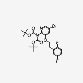 CC(C)(C)OC(=O)N(C(=O)OC(C)(C)C)c1ncc(Br)cc1OCCc1cc(F)ccc1F